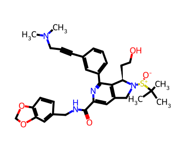 CN(C)CC#Cc1cccc(-c2nc(C(=O)NCc3ccc4c(c3)OCO4)cc3c2[C@@H](CCO)N([S@+]([O-])C(C)(C)C)C3)c1